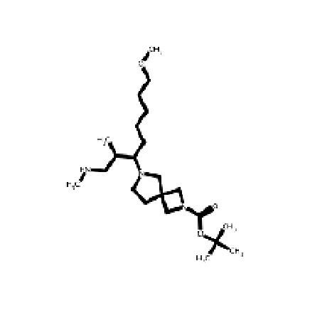 CNCC(C)C(CCCCCOC)N1CCC2(CN(C(=O)OC(C)(C)C)C2)C1